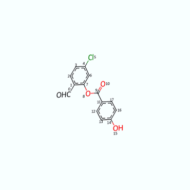 O=Cc1ccc(Cl)cc1OC(=O)c1ccc(O)cc1